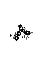 Cc1cc(N2C[C@]3(CC[C@](c4ccccc4)(N(C)C)CC3)N(CC3CCC3)C2=O)ccc1F